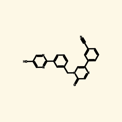 N#Cc1cccc(-c2cn(Cc3cccc(-c4ncc(O)cn4)c3)c(=O)cn2)c1